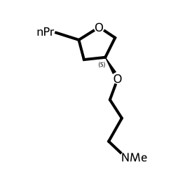 CCCC1C[C@H](OCCCNC)CO1